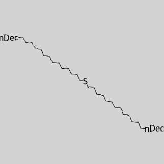 CCCCCCCCCCCCCCCCCCCCCCCCSCCCCCCCCCCCCCCCCCCCCCCC